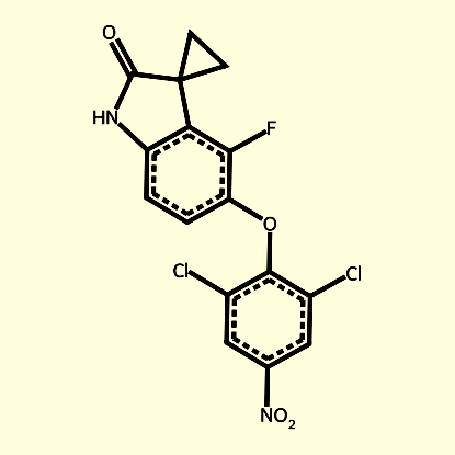 O=C1Nc2ccc(Oc3c(Cl)cc([N+](=O)[O-])cc3Cl)c(F)c2C12CC2